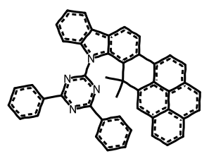 CC1(C)c2cc3cccc4ccc5ccc(c2c5c43)-c2ccc3c4ccccc4n(-c4nc(-c5ccccc5)nc(-c5ccccc5)n4)c3c21